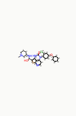 CN1CCC[C@@H](NC(O)c2sc3nccc4c3c2NC(=O)N4c2ccc(Oc3ccccc3)cc2Cl)C1